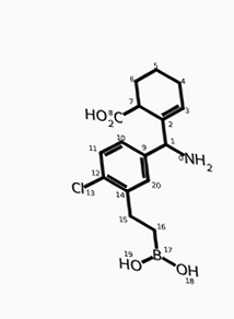 NC(C1=CCCCC1C(=O)O)c1ccc(Cl)c(CCB(O)O)c1